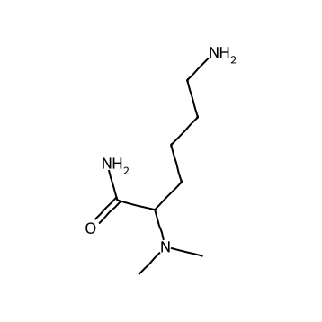 CN(C)C(CCCCN)C(N)=O